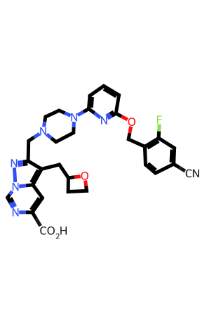 N#Cc1ccc(COc2cccc(N3CCN(Cc4nn5cnc(C(=O)O)cc5c4CC4CCO4)CC3)n2)c(F)c1